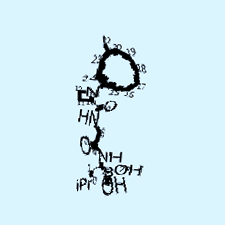 CC(C)C[C@H](NC(=O)CNC(=O)[C@@H]1CCN1c1ccccccc(I)cc1)B(O)O